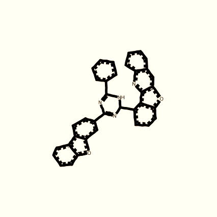 c1ccc(C2=NC(c3ccc4c(c3)oc3ccccc34)=NC(c3cccc4oc5cc6ccccc6nc5c34)N2)cc1